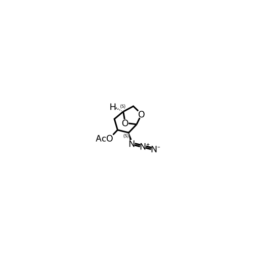 CC(=O)OC1C[C@H]2COC(O2)[C@H]1N=[N+]=[N-]